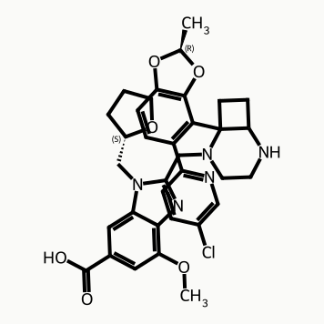 COc1cc(C(=O)O)cc2c1nc(CN1CCNC3CCC31c1c(-c3ccc(Cl)cn3)ccc3c1O[C@H](C)O3)n2C[C@@H]1CCCO1